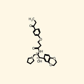 CCC(=O)c1ccc(OCCC(=O)N[C@H](CN2CCCC2)[C@@H](O)c2ccc3c(c2)OCCO3)cc1